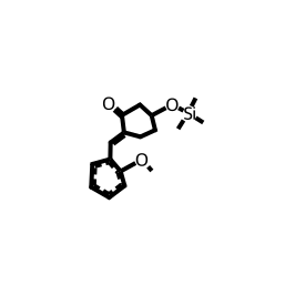 COc1ccccc1C=C1CCC(O[Si](C)(C)C)CC1=O